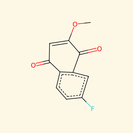 COC1=CC(=O)c2ccc(F)cc2C1=O